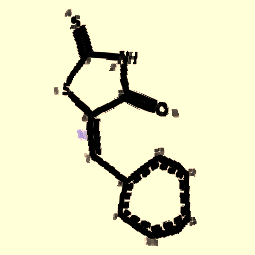 O=C1NC(=S)S/C1=C/c1ccccc1